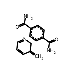 C=C1C=CC=NC1.NC(=O)c1ccc(C(N)=O)cc1